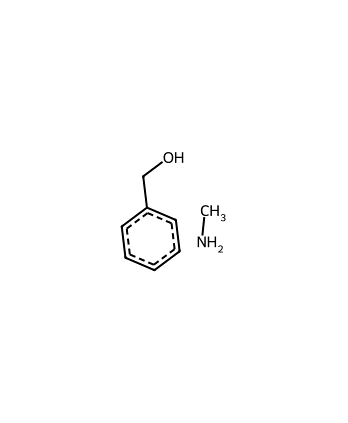 CN.OCc1ccccc1